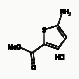 COC(=O)c1ccc(N)s1.Cl